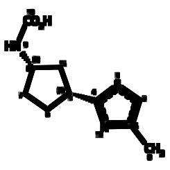 Cc1csc([C@@H]2CC[C@H](NC(=O)O)C2)n1